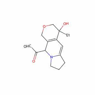 CCC1(O)COCC2=C1C=C1CCCN1C2C(=O)C=O